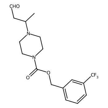 CC(CC=O)N1CCN(C(=O)OCc2cccc(C(F)(F)F)c2)CC1